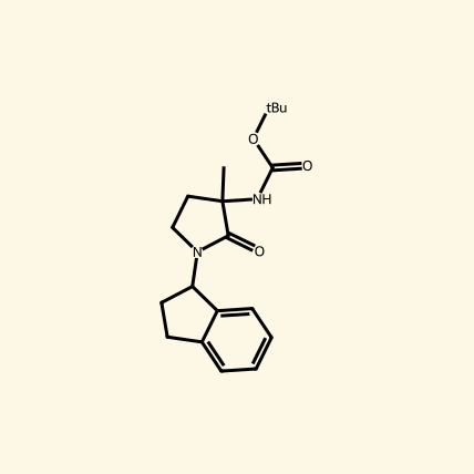 CC(C)(C)OC(=O)NC1(C)CCN(C2CCc3ccccc32)C1=O